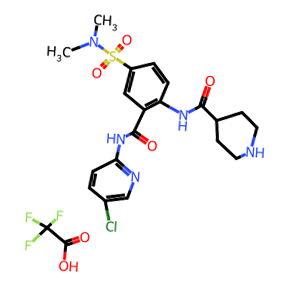 CN(C)S(=O)(=O)c1ccc(NC(=O)C2CCNCC2)c(C(=O)Nc2ccc(Cl)cn2)c1.O=C(O)C(F)(F)F